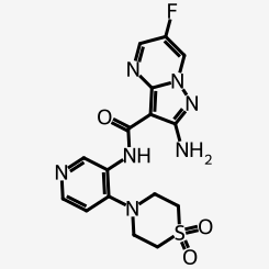 Nc1nn2cc(F)cnc2c1C(=O)Nc1cnccc1N1CCS(=O)(=O)CC1